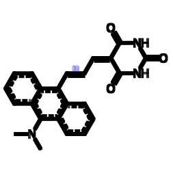 CN(C)c1c2ccccc2c(/C=C/C=C2C(=O)NC(=O)NC2=O)c2ccccc12